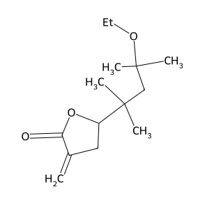 C=C1CC(C(C)(C)CC(C)(C)OCC)OC1=O